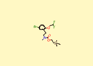 CN(CCc1cc(Br)ccc1OCC(F)F)C(=O)OCC[Si](C)(C)C